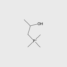 CC(O)C[P+](C)(C)C